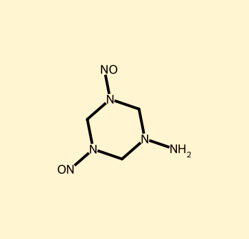 NN1CN(N=O)CN(N=O)C1